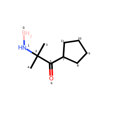 BNC(C)(C)C(=O)C1CCCC1